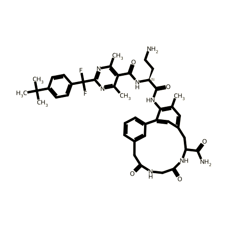 Cc1cc2cc(c1NC(=O)[C@H](CCN)NC(=O)c1c(C)nc(C(F)(F)c3ccc(C(C)(C)C)cc3)nc1C)-c1cccc(c1)CC(=O)NCC(=O)NC(C(N)=O)C2